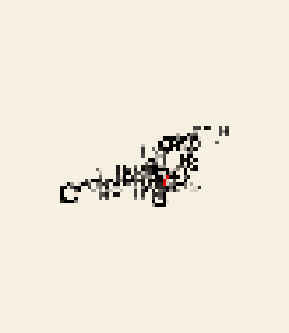 CCCCCCN(C(=O)[C@@H](NC(=O)[C@H]1CCCCN1C)[C@@H](C)CC)[C@H](C[C@@H](O)c1nc(C(=O)N[C@@H](Cc2ccc(NC(=O)CNC(=O)[C@H](Cc3ccccc3)NC(=O)CNC(=O)CNC(=O)OCC3C4CCC#CCCC43)c(F)c2)CC(C)(C)C(=O)O)cs1)C(C)C